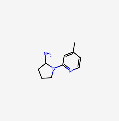 Cc1ccnc(N2CCCC2N)c1